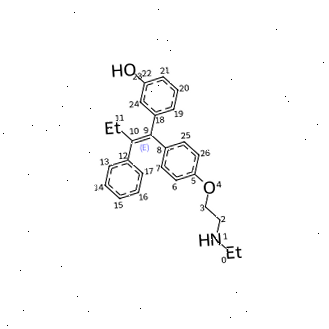 CCNCCOc1ccc(/C(=C(/CC)c2ccccc2)c2cccc(O)c2)cc1